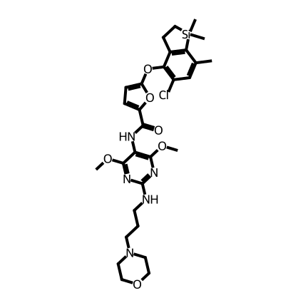 COc1nc(NCCCN2CCOCC2)nc(OC)c1NC(=O)c1ccc(Oc2c(Cl)cc(C)c3c2CC[Si]3(C)C)o1